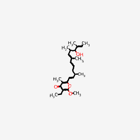 C/C=C(\C)C(O)C(C)/C=C(C)/C=C/CC(C)/C=C/c1oc(OC)c(CC)c(=O)c1C